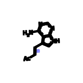 CC(=O)/C=C/c1c[nH]c2ncnc(N)c12